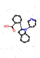 O=C(O)c1ccccc1-c1cc2ccccc2n1-c1cccnc1